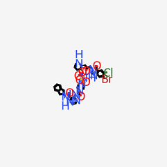 O=C(C[C@@H]1NCCC[C@@H]1OC(=O)NS(=O)(=O)N1CCN(C(=O)Nc2nccnc2C(=O)NC2Cc3ccccc3C2)CC1)Cn1cnc2cc(Br)c(Cl)cc2c1=O